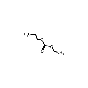 C[CH]OC(=O)OCCC